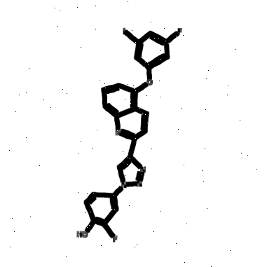 Oc1ccc(-n2cc(-c3ccc4c(Oc5cc(F)cc(I)c5)cccc4n3)nn2)cc1F